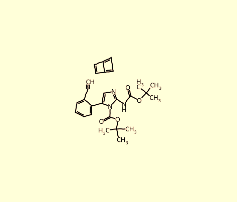 C#Cc1ccccc1-c1cnc(NC(=O)OC(C)(C)C)n1C(=O)OC(C)(C)C.c1cc2ccc1-2